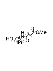 CCC[C@H](NC(=O)/C=C/C(=O)OC)C(=O)O